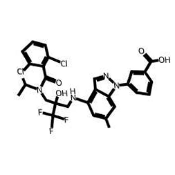 Cc1cc(NCC(O)(CN(C(=O)c2c(Cl)cccc2Cl)C(C)C)C(F)(F)F)c2cnn(-c3cccc(C(=O)O)c3)c2c1